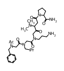 CC(=O)N(CC(=O)N(CC(=O)N(CCCN)CC(=O)C(CC(=O)N1CCCC1C(N)=O)N(C)C)CC(C)C)Cc1ccccc1